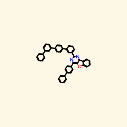 c1ccc(-c2ccc(-c3nc(-c4cccc(-c5ccc(-c6cccc(-c7ccccc7)c6)cc5)c4)nc4c3oc3ccccc34)cc2)cc1